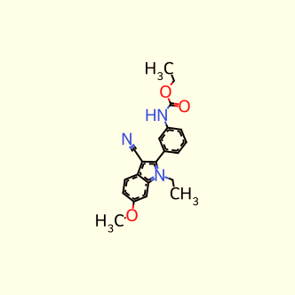 CCOC(=O)Nc1cccc(-c2c(C#N)c3ccc(OC)cc3n2CC)c1